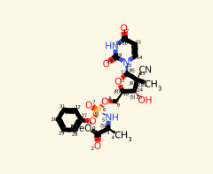 COC(=O)[C@H](C)N[P@](=O)(OC[C@H]1O[C@@H](n2ccc(=O)[nH]c2=O)[C@](C)(C#N)[C@@H]1O)Oc1ccccc1